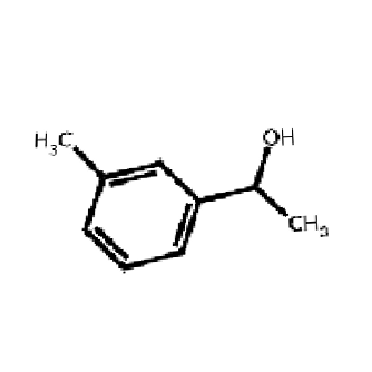 Cc1[c]c(C(C)O)c[c]c1